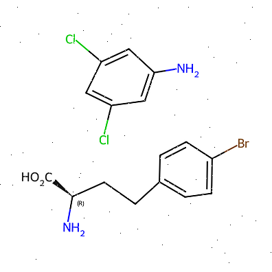 N[C@H](CCc1ccc(Br)cc1)C(=O)O.Nc1cc(Cl)cc(Cl)c1